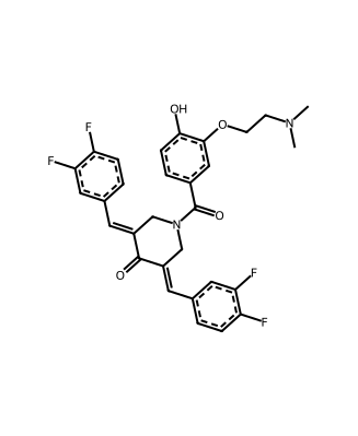 CN(C)CCOc1cc(C(=O)N2C/C(=C\c3ccc(F)c(F)c3)C(=O)/C(=C/c3ccc(F)c(F)c3)C2)ccc1O